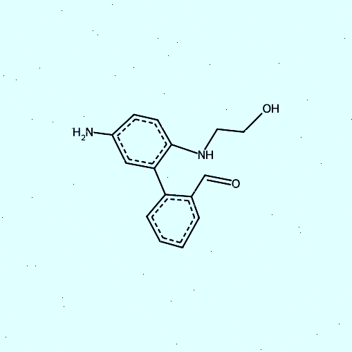 Nc1ccc(NCCO)c(-c2ccccc2C=O)c1